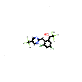 O[C@@H](c1cc(Cl)cc(Cl)c1[CH]c1ncc(C(F)(F)F)cn1)C(F)(F)F